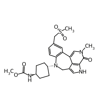 COC(=O)N[C@H]1CC[C@H](N2Cc3c[nH]c4c(=O)n(C)cc(c34)-c3cc(CS(C)(=O)=O)ccc32)CC1